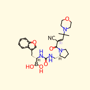 CC(C)(/C=C(\C#N)C(=O)N1CCC[C@@H]1CNC(=O)N[C@@H](Cc1coc2ccccc12)B(O)O)N1CCOCC1